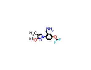 CCOc1nn(-c2ccc(OC(F)F)cc2CN)cc1C